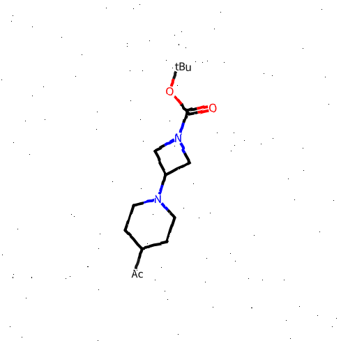 CC(=O)C1CCN(C2CN(C(=O)OC(C)(C)C)C2)CC1